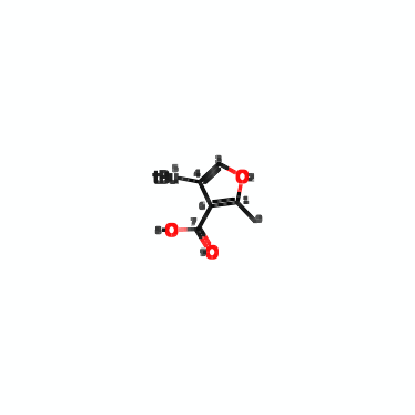 Cc1occ(C(C)(C)C)c1C([O])=O